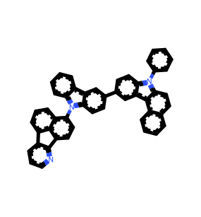 c1ccc(-n2c3ccc(-c4ccc5c(c4)c4ccccc4n5-c4ccc5c6c(cccc46)-c4cccnc4-5)cc3c3c4ccccc4ccc32)cc1